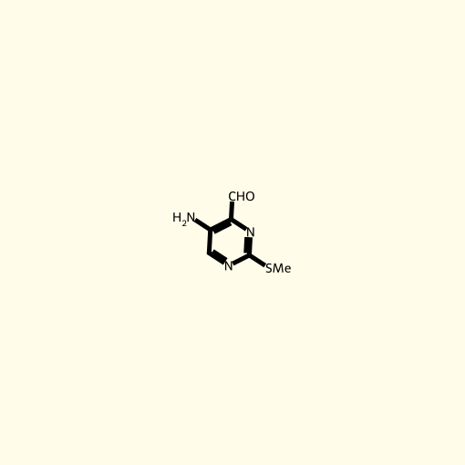 CSc1ncc(N)c(C=O)n1